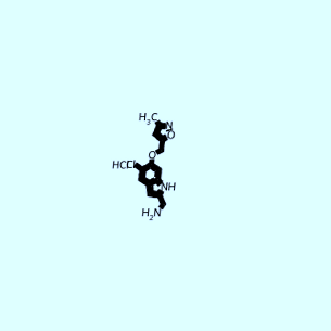 Cc1cc(COc2cc3[nH]c(CN)cc3cc2Cl)on1.Cl